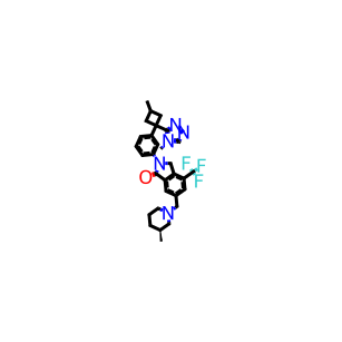 CC1CC(c2cccc(N3Cc4c(cc(CN5CCC[C@H](C)C5)cc4C(F)(F)F)C3=O)c2)(c2nncn2C)C1